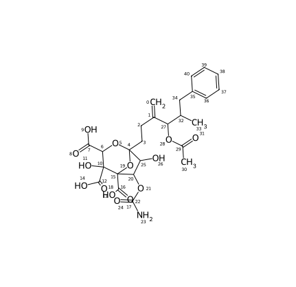 C=C(CCC12OC(C(=O)O)C(O)(C(=O)O)C(C(=O)O)(O1)C(OC(N)=O)C2O)C(OC(C)=O)C(C)Cc1ccccc1